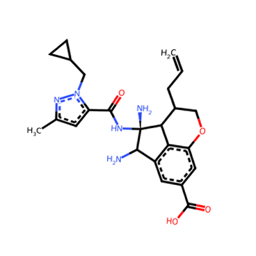 C=CCC1COc2cc(C(=O)O)cc3c2C1[C@@](N)(NC(=O)c1cc(C)nn1CC1CC1)C3N